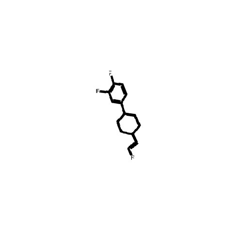 F/C=C/C1CCC(c2ccc(F)c(F)c2)CC1